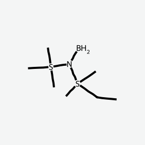 BN(S(C)(C)C)S(C)(C)CC